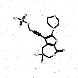 CC1(C)CNC(=O)c2sc(N3CCOCC3)c(C#CCNS(C)(=O)=O)c2C1